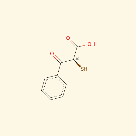 O=C(O)[C@@H](S)C(=O)c1ccccc1